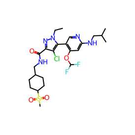 CCn1nc(C(=O)NCC2CCC(S(C)(=O)=O)CC2)c(Cl)c1-c1cnc(NCC(C)C)cc1OC(F)F